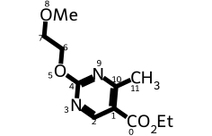 CCOC(=O)c1cnc(OCCOC)nc1C